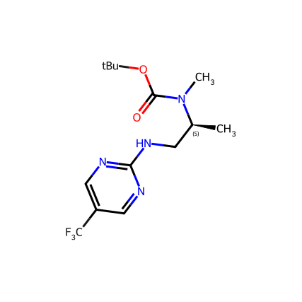 C[C@@H](CNc1ncc(C(F)(F)F)cn1)N(C)C(=O)OC(C)(C)C